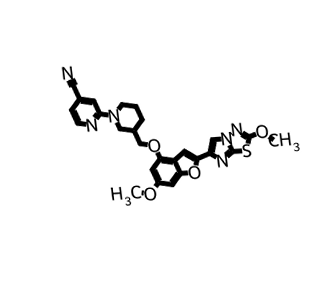 COc1cc(OCC2CCCN(c3cc(C#N)ccn3)C2)c2cc(-c3cn4nc(OC)sc4n3)oc2c1